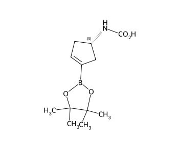 CC1(C)OB(C2=CC[C@H](NC(=O)O)C2)OC1(C)C